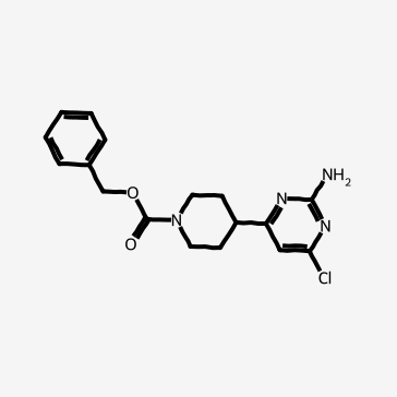 Nc1nc(Cl)cc(C2CCN(C(=O)OCc3ccccc3)CC2)n1